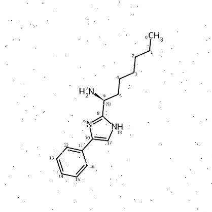 CCCCCC[C@H](N)c1nc(-c2ccccc2)c[nH]1